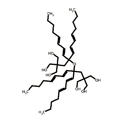 CCCCC=CC=CC(C=CC=CCCCC)(CC(CO)(CO)CO)OC(C=CC=CCCCC)(C=CC=CCCCC)CC(CO)(CO)CO